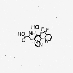 Cl.N[C@@H](Cc1ccc(-c2ncccc2C(F)(F)F)c2nccn12)C(=O)O